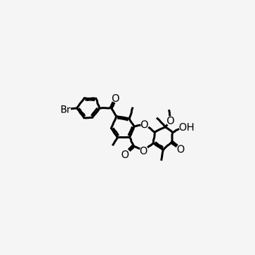 COC1(C)C(O)C(=O)C(C)=C2OC(=O)c3c(C)cc(C(=O)c4ccc(Br)cc4)c(C)c3OC21